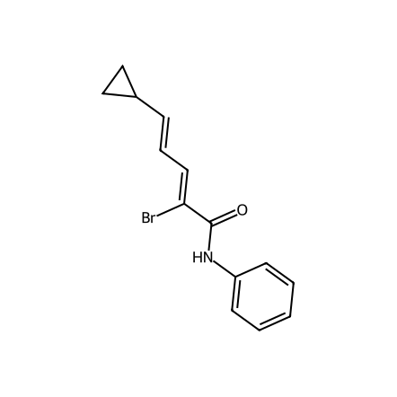 O=C(Nc1ccccc1)C(Br)=CC=CC1CC1